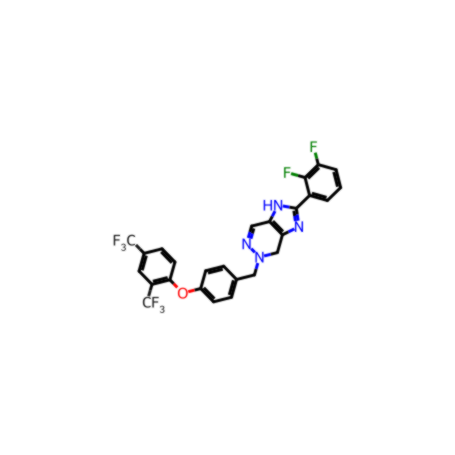 Fc1cccc(-c2nc3c([nH]2)C=NN(Cc2ccc(Oc4ccc(C(F)(F)F)cc4C(F)(F)F)cc2)C3)c1F